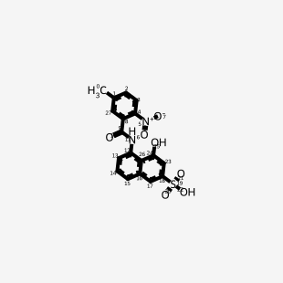 Cc1ccc([N+](=O)[O-])c(C(=O)Nc2cccc3cc(S(=O)(=O)O)cc(O)c23)c1